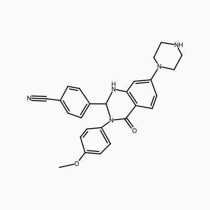 COc1ccc(N2C(=O)c3ccc(N4CCNCC4)cc3NC2c2ccc(C#N)cc2)cc1